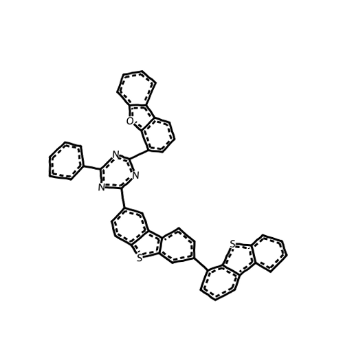 c1ccc(-c2nc(-c3ccc4sc5cc(-c6cccc7c6sc6ccccc67)ccc5c4c3)nc(-c3cccc4c3oc3ccccc34)n2)cc1